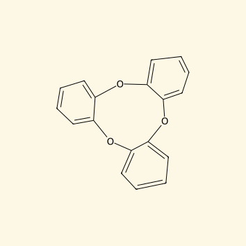 c1ccc2c(c1)Oc1ccccc1Oc1ccccc1O2